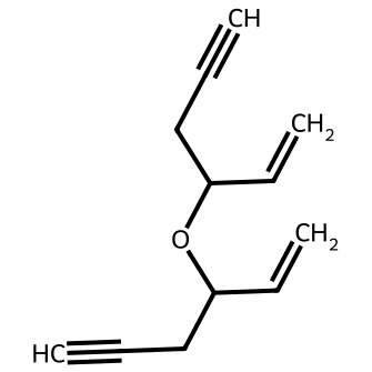 C#CCC(C=C)OC(C=C)CC#C